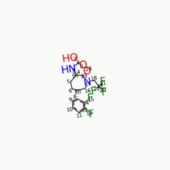 O=C(O)N[C@@H]1CC[C@@H](c2cccc(F)c2F)CN(CC(F)(F)F)C1=O